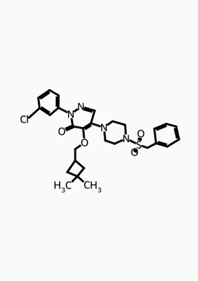 CC1(C)CC(COc2c(N3CCN(S(=O)(=O)Cc4ccccc4)CC3)cnn(-c3cccc(Cl)c3)c2=O)C1